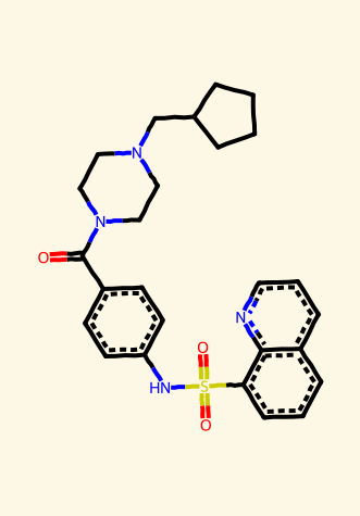 O=C(c1ccc(NS(=O)(=O)c2cccc3cccnc23)cc1)N1CCN(CC2CCCC2)CC1